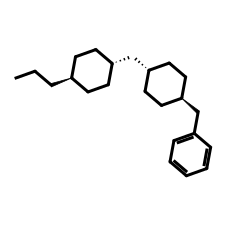 CCC[C@H]1CC[C@H](C[C@H]2CC[C@H](Cc3ccccc3)CC2)CC1